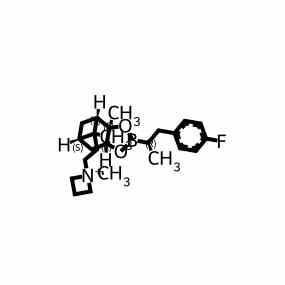 C[C@H](Cc1ccc(F)cc1)B1O[C@@H]2C[C@@H]3C[C@@H](C3(C)CC[N+]3(C)CCC3)[C@]2(C)O1